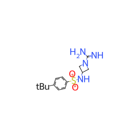 CC(C)(C)c1ccc(S(=O)(=O)NC2CN(C(=N)N)C2)cc1